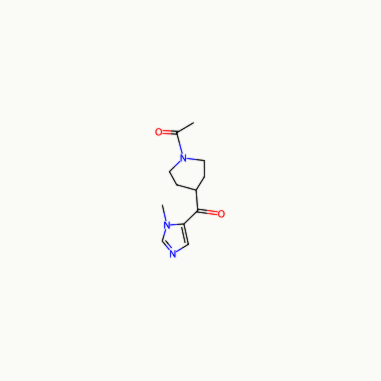 CC(=O)N1CCC(C(=O)c2cncn2C)CC1